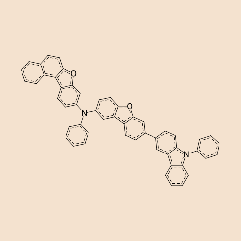 c1ccc(N(c2ccc3c(c2)oc2ccc4ccccc4c23)c2ccc3oc4cc(-c5ccc6c(c5)c5ccccc5n6-c5ccccc5)ccc4c3c2)cc1